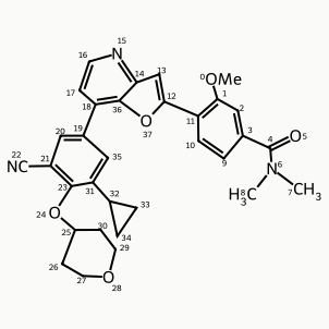 COc1cc(C(=O)N(C)C)ccc1-c1cc2nccc(-c3cc(C#N)c(OC4CCOCC4)c(C4CC4)c3)c2o1